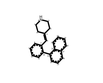 C(=C1CCNCC1)c1ccccc1-c1cccc2ccccc12